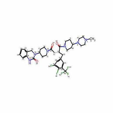 CN1CCN(C2CCN(C(=O)[C@@H](CC(=O)N3CCC(N4Cc5ccccc5NC4=O)CC3)Cc3cc(F)c(F)c(C(F)(F)F)c3)CC2)CC1